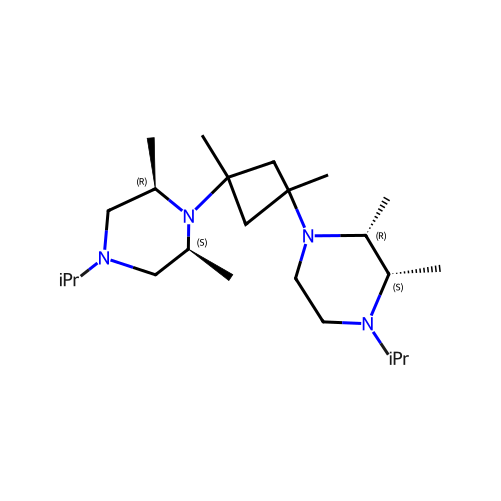 CC(C)N1C[C@@H](C)N(C2(C)CC(C)(N3CCN(C(C)C)[C@@H](C)[C@H]3C)C2)[C@@H](C)C1